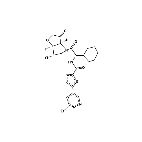 CCc1cc(-c2ccc(C(=O)N[C@H](C(=O)N3C[C@H](Cl)[C@H]4OCC(=O)[C@H]43)C3CCCCC3)s2)cnn1